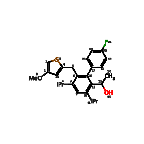 COc1csc(Cc2c(C(C)C)cc(C(C)C)c(C(C)O)c2-c2ccc(F)cc2)c1